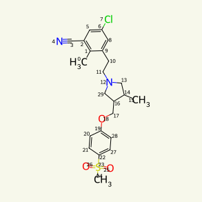 Cc1c(C#N)cc(Cl)cc1CCN1CC(C)C(COc2ccc(S(C)(=O)=O)cc2)C1